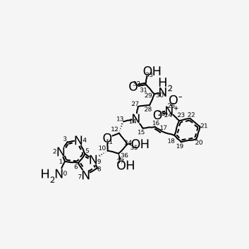 Nc1ncnc2c1ncn2[C@@H]1O[C@H](CN(CC=Cc2ccccc2[N+](=O)[O-])CCC(N)C(=O)O)[C@@H](O)[C@H]1O